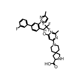 Cc1ccn(-c2cc(-c3cccc(F)c3)ccc2[C@@H](Oc2cc(N3CCC4(CC3)CNC(C(=O)O)C4)nc(C)n2)C(F)(F)F)n1